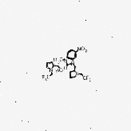 Cn1c(=O)n(CC2CCCN2CC(F)(F)F)c2cc([N+](=O)[O-])ccc21.OC[C@@H]1CCCN1CC(F)(F)F